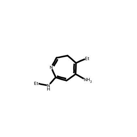 CCNC1=CC(N)=C(CC)CC=N1